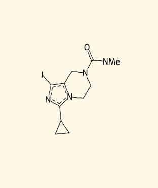 CNC(=O)N1CCn2c(C3CC3)nc(I)c2C1